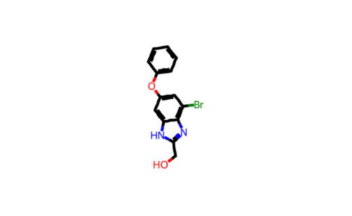 OCc1nc2c(Br)cc(Oc3ccccc3)cc2[nH]1